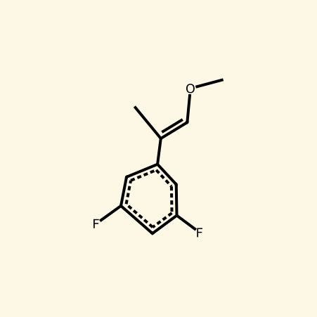 CO/C=C(\C)c1cc(F)cc(F)c1